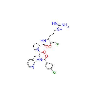 N=C(N)NCCCC(NC(=O)C1CCCN1C(=O)C(Cc1cccnc1)NC(=O)c1ccc(Br)cc1)C(=O)CF